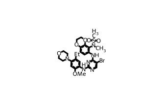 CCc1cc(Nc2ncc(Br)c(Nc3ccc4c(c3N(C)S(C)(=O)=O)OCCO4)n2)c(OC)cc1N1CCOCC1